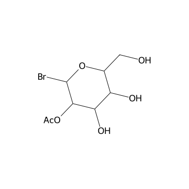 CC(=O)OC1C(Br)OC(CO)C(O)C1O